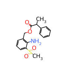 CC(C(=O)OCc1cccc(S(C)(=O)=O)c1N)c1ccccc1